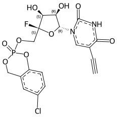 C#Cc1cn([C@@H]2O[C@](F)(COP3(=O)OCc4cc(Cl)ccc4O3)[C@@H](O)[C@H]2O)c(=O)[nH]c1=O